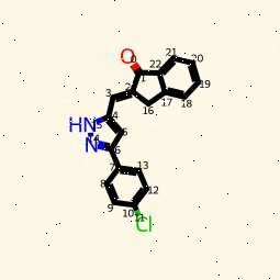 O=C1/C(=C/c2cc(-c3ccc(Cl)cc3)n[nH]2)Cc2ccccc21